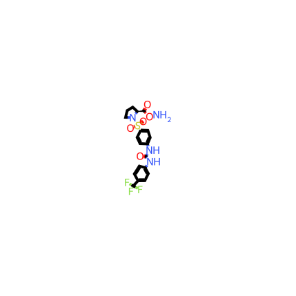 NOC(=O)[C@@H]1CCCN1S(=O)(=O)c1ccc(NC(=O)Nc2ccc(C(F)(F)F)cc2)cc1